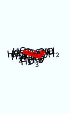 CC1O[C@H](O[C@@H]2C(OC=O)O[C@@H](O[C@@H]3C(C)O[C@H](C)C(N)[C@H]3O)C(OS(=O)(=O)O)[C@H]2O)C(N)C[C@@H]1O[C@@H]1O[C@@H](C(=O)O)[C@@H](O[C@H]2O[C@@H](C)[C@@H](O)[C@H](O)C2N)[C@H](O)C1C